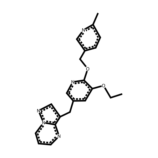 CCOc1cc(Cc2cnn3cccnc23)cnc1OCc1ccc(C)nc1